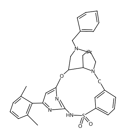 Cc1cccc(C)c1-c1cc2nc(n1)NS(=O)(=O)c1cccc(c1)CN1CCN(Cc3ccccc3)CC(O2)C1CC(C)C